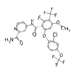 COc1cc(Oc2ccc(OC(F)(F)F)cc2Cl)c(C(=O)Nc2ccnc(C(N)=O)c2)c(F)c1C(F)(F)F